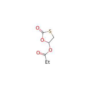 CCC(=O)OC1CSC(=O)O1